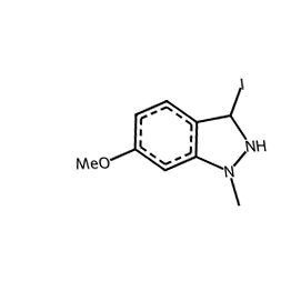 COc1ccc2c(c1)N(C)NC2I